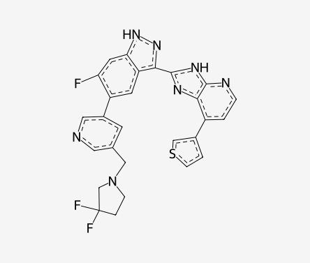 Fc1cc2[nH]nc(-c3nc4c(-c5ccsc5)ccnc4[nH]3)c2cc1-c1cncc(CN2CCC(F)(F)C2)c1